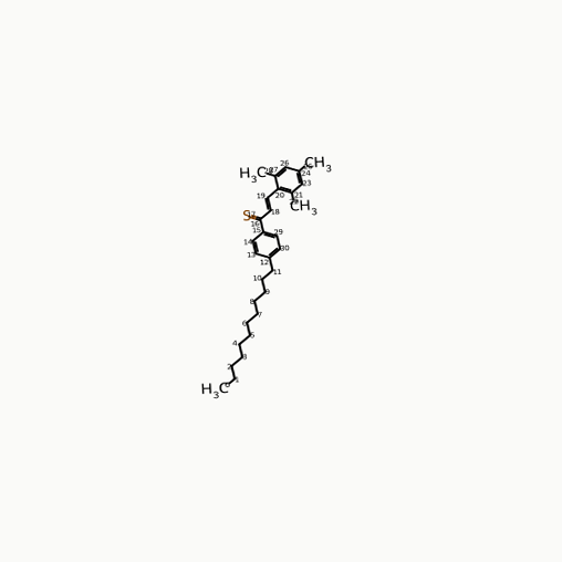 CCCCCCCCCCCCc1ccc(C(=S)C=Cc2c(C)cc(C)cc2C)cc1